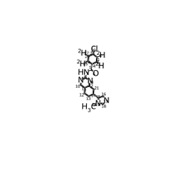 [2H]c1c([2H])c(C(=O)Nc2ncc3ccc(-c4cncn4C)cc3n2)c([2H])c([2H])c1Cl